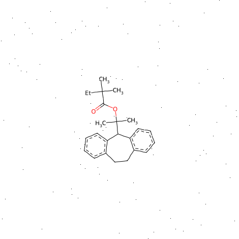 CCC(C)(C)C(=O)OC(C)(C)C1c2ccccc2CCc2ccccc21